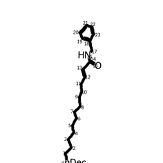 CCCCCCCCCCCCCCCCCCCCCC=CC(=O)NCc1ccccc1